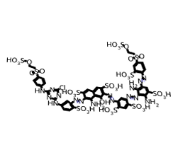 Nc1c(/N=N/c2ccc(S(=O)(=O)CCOS(=O)(=O)O)cc2S(=O)(=O)O)cc(S(=O)(=O)O)c(N)c1/N=N/c1cc(/N=N/c2c(S(=O)(=O)O)cc3cc(S(=O)(=O)O)c(/N=N/c4cc(Nc5nc(Cl)nc(Nc6ccc(S(=O)(=O)CCOS(=O)(=O)O)cc6)n5)ccc4S(=O)(=O)O)c(N)c3c2O)c(S(=O)(=O)O)cc1S(=O)(=O)O